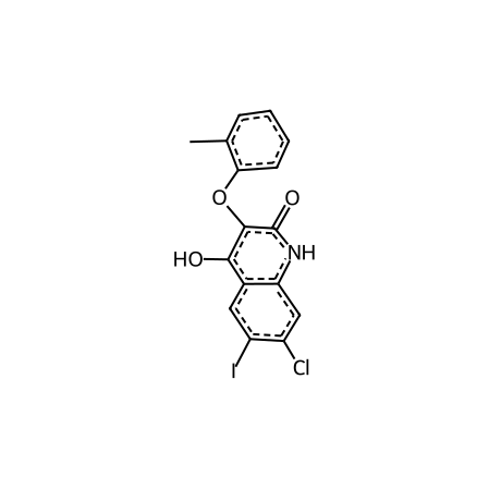 Cc1ccccc1Oc1c(O)c2cc(I)c(Cl)cc2[nH]c1=O